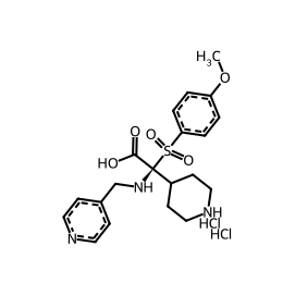 COc1ccc(S(=O)(=O)[C@@](NCc2ccncc2)(C(=O)O)C2CCNCC2)cc1.Cl.Cl